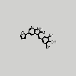 O=C1Nc2ncc(-c3ccco3)cc2C1=Cc1cc(Br)c(O)c(Br)c1